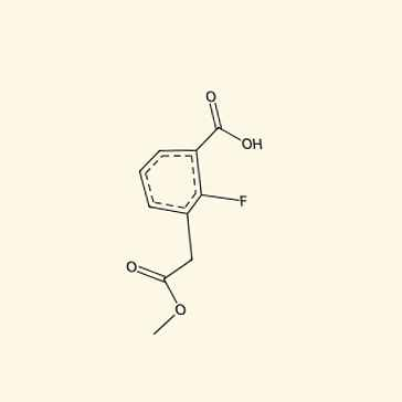 COC(=O)Cc1cccc(C(=O)O)c1F